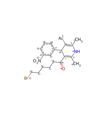 CC(=O)C1=C(C)NC(C)=C(C(=O)CCCCCBr)C1c1cccc([N+](=O)[O-])c1